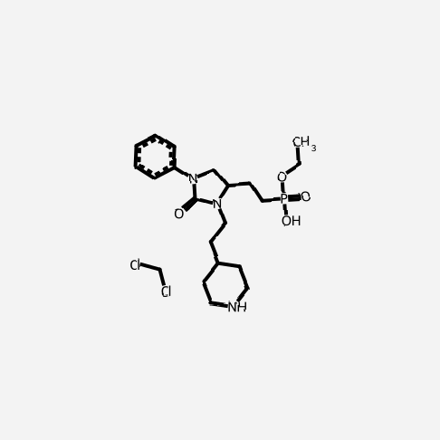 CCOP(=O)(O)CCC1CN(c2ccccc2)C(=O)N1CCC1CCNCC1.ClCCl